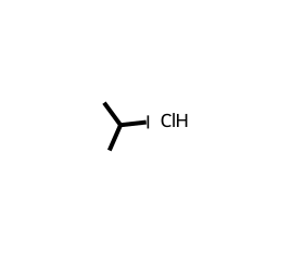 CC(C)I.Cl